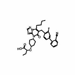 CCCCc1c(Cc2ccc(-c3ccccc3C#N)cc2F)c(=O)n([C@H]2CC[C@H](OC(CC)C(=O)O)CC2)c2ncnn12